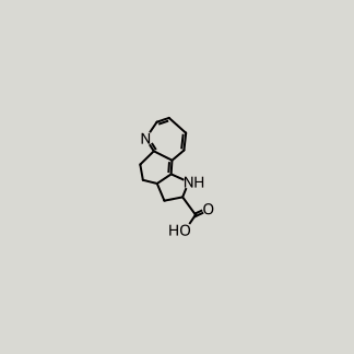 O=C(O)C1CC2CCC3=NC=CC=CC3=C2N1